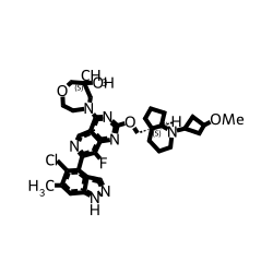 COC1CC(N2CCC[C@@]3(COc4nc(N5CCOC[C@@](C)(O)C5)c5cnc(-c6c(Cl)c(C)cc7[nH]ncc67)c(F)c5n4)CCC[C@@H]23)C1